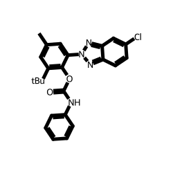 Cc1cc(-n2nc3ccc(Cl)cc3n2)c(OC(=O)Nc2ccccc2)c(C(C)(C)C)c1